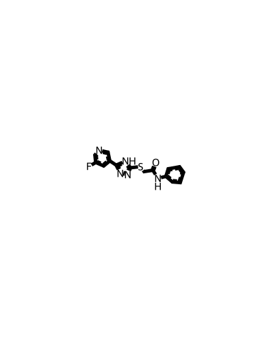 O=C(CSc1nnc(-c2cncc(F)c2)[nH]1)Nc1ccccc1